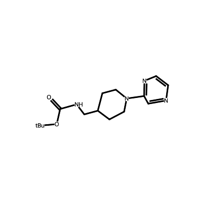 CC(C)(C)OC(=O)NCC1CCN(c2cnccn2)CC1